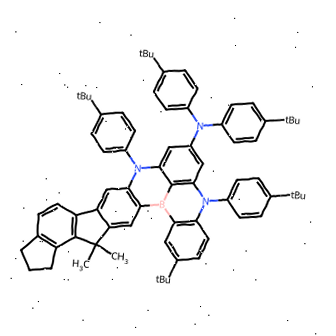 CC(C)(C)c1ccc(N(c2ccc(C(C)(C)C)cc2)c2cc3c4c(c2)N(c2ccc(C(C)(C)C)cc2)c2cc5c(cc2B4c2cc(C(C)(C)C)ccc2N3c2ccc(C(C)(C)C)cc2)C(C)(C)c2c-5ccc3c2CCC3)cc1